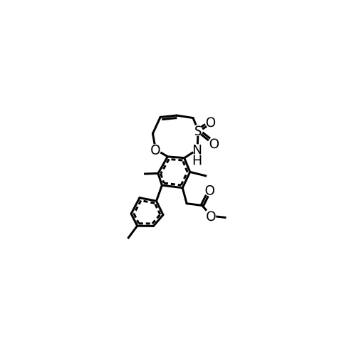 COC(=O)Cc1c(C)c2c(c(C)c1-c1ccc(C)cc1)OC/C=C\CS(=O)(=O)N2